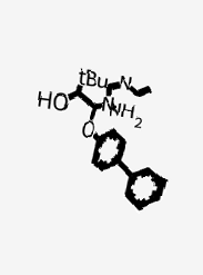 C=C/N=C\N(N)C(Oc1ccc(-c2ccccc2)cc1)C(O)C(C)(C)C